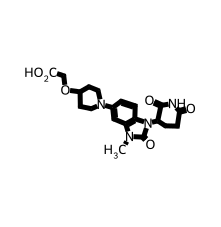 Cn1c(=O)n(C2CCC(=O)NC2=O)c2ccc(N3CCC(OCC(=O)O)CC3)cc21